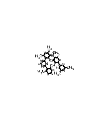 Cc1cc(C)cc(-c2ccc(N(C)c3c(C)cc(C)c(-c4ncnc(-c5c(C)cccc5C)n4)c3C)cc2)c1